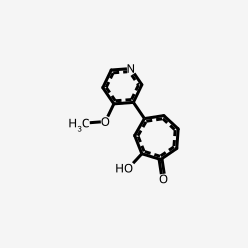 COc1ccncc1-c1cccc(=O)c(O)c1